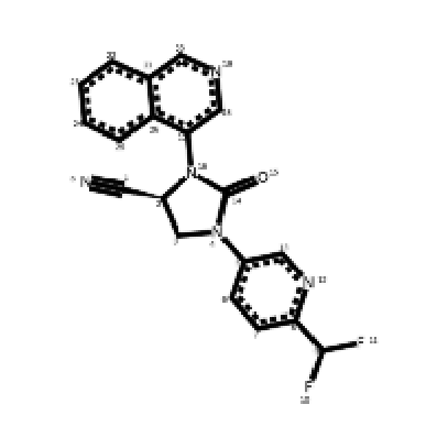 N#C[C@@H]1CN(c2ccc(C(F)F)nc2)C(=O)N1c1cncc2ccccc12